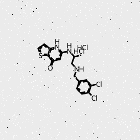 CC(CNCc1ccc(Cl)c(Cl)c1)Nc1cc(=O)c2sccc2[nH]1.Cl.Cl